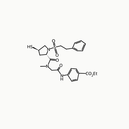 CCOC(=O)c1ccc(NC(=O)CN(C)C(=O)[C@@H]2C[C@@H](S)CN2S(=O)(=O)CCc2ccccc2)cc1